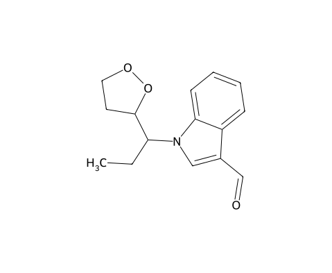 CCC(C1CCOO1)n1cc(C=O)c2ccccc21